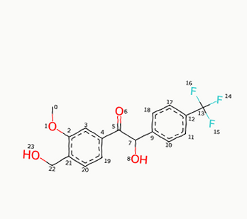 COc1cc(C(=O)C(O)c2ccc(C(F)(F)F)cc2)ccc1CO